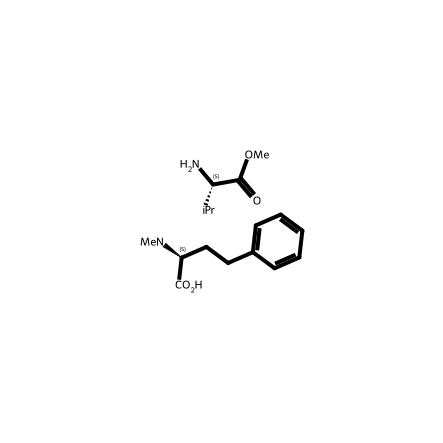 CN[C@@H](CCc1ccccc1)C(=O)O.COC(=O)[C@@H](N)C(C)C